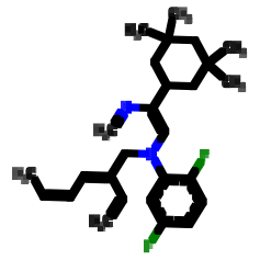 C=C/C(=C\C=C/C)CN(/C=C(\N=C)C1CC(C)(C)CC(C)(C)C1)c1cc(F)ccc1F